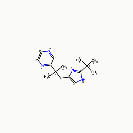 CC(C)(C)c1nc(CC(C)(C)c2cnccn2)c[nH]1